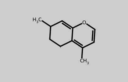 CC1=C2[CH]CC(C)C=C2OC=C1